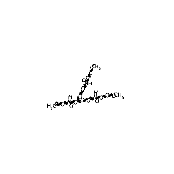 COCCOCCNC(=O)COC(COCCOCCNC(=O)COCCOCCOC)COCCOCCNC(=O)COCCOCCOC